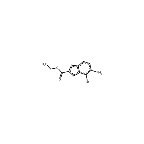 CCOC(=O)c1cc2c(Br)c(N)ccc2s1